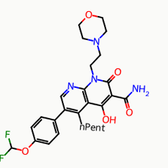 CCCCCc1c(-c2ccc(OC(F)F)cc2)cnc2c1c(O)c(C(N)=O)c(=O)n2CCN1CCOCC1